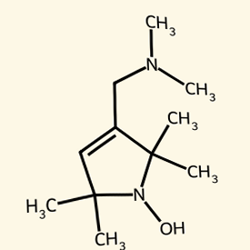 CN(C)CC1=CC(C)(C)N(O)C1(C)C